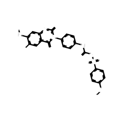 CNc1cc2[nH]c(=O)n(-c3ccc(NC(=O)NS(=O)(=O)c4ccc(SCl)cc4)cc3)c(=O)c2cc1F